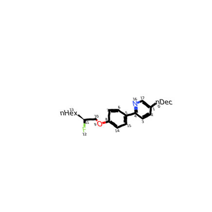 CCCCCCCCCCc1ccc(-c2ccc(OC[C@@H](F)CCCCCC)cc2)nc1